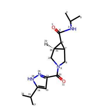 CC(C)NC(=O)C1C2CN(C(=O)c3cc(C(C)C)[nH]n3)C[C@H]21